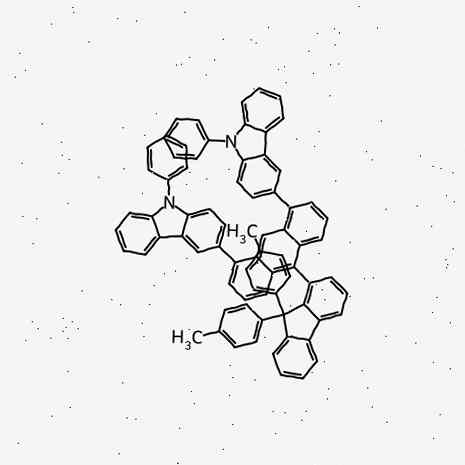 Cc1ccc(C2(c3ccc(C)cc3)c3ccccc3-c3cccc(-c4c5cccc(-c6ccc7c(c6)c6ccccc6n7-c6ccccc6)c5cc5c(-c6ccc7c(c6)c6ccccc6n7-c6ccccc6)cccc45)c32)cc1